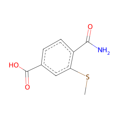 CSc1cc(C(=O)O)ccc1C(N)=O